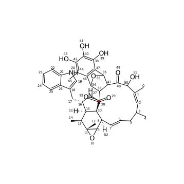 C/C1=C/C(C)C/C=C/[C@H]2C3O[C@]3(C)[C@@H](C)[C@H]3[C@H](Cc4c[nH]c5ccccc45)NC(=O)[C@]32C(=O)C2C3OC(c4c(O)c(O)c(O)c(C)c43)C2C(=O)C1O